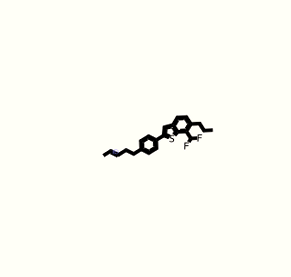 C/C=C/CCc1ccc(-c2cc3ccc(CCC)c(C(F)F)c3s2)cc1